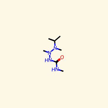 CNC(=O)NN(C)N(C)C(C)C